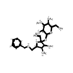 CC(=O)OC1C(CO)OC(OC2(CO)OC(COCc3ccccc3)C(OC(C)=O)C2OC(C)=O)C(OC(C)=O)C1OC(C)=O